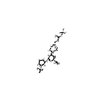 CC(C)(C)OC(=O)CCN1CCN(c2cc(-c3cccc(C(F)(F)F)c3)nc(C#N)n2)CC1